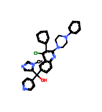 Cn1cncc1C(O)(c1ccncc1)c1ccc2nc(N3CCN(c4ccccc4)CC3)c(-c3ccccc3)c(Cl)c2c1